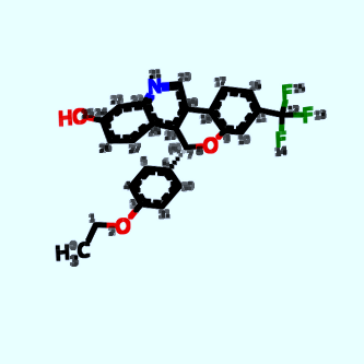 CCOc1ccc([C@H]2Oc3cc(C(F)(F)F)ccc3-c3cnc4cc(O)ccc4c32)cc1